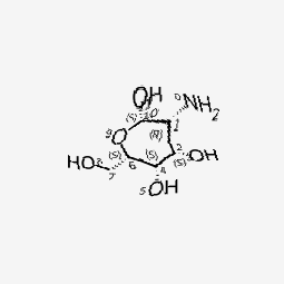 N[C@@H]1[C@H](O)[C@H](O)[C@H](CO)O[C@@H]1O